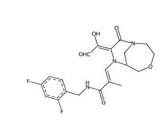 C/C(=C\N1/C(=C(/O)C=O)C(=O)N2CCOCC1C2)C(=O)NCc1ccc(F)cc1F